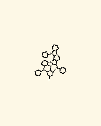 Fc1cc2c3c(c1)N(c1ccccc1)c1c4n(c5c1ccc1c6ccccc6n(-c6ccccc6)c15)-c1cccc(c1B34)N2c1ccccc1